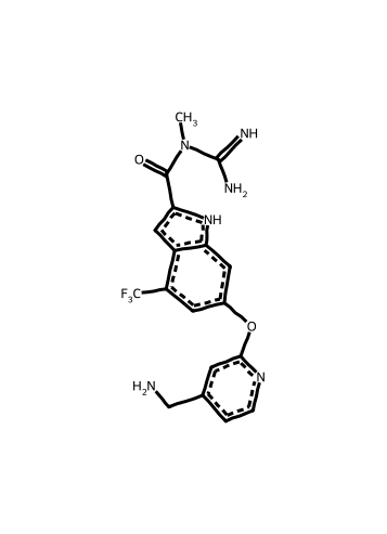 CN(C(=N)N)C(=O)c1cc2c(C(F)(F)F)cc(Oc3cc(CN)ccn3)cc2[nH]1